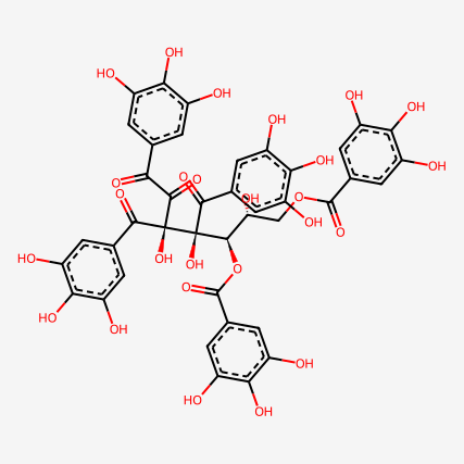 O=C(OC[C@@H](O)[C@@H](OC(=O)c1cc(O)c(O)c(O)c1)[C@@](O)(C(=O)c1cc(O)c(O)c(O)c1)[C@@](O)(C(=O)C(=O)c1cc(O)c(O)c(O)c1)C(=O)c1cc(O)c(O)c(O)c1)c1cc(O)c(O)c(O)c1